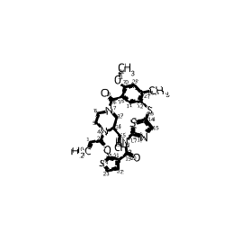 C=CC(=O)N1CCN(C(=O)c2cc(Sc3cnc(NC(=O)c4ccsc4)s3)c(C)cc2OC)CC1CC